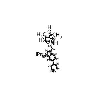 CC(=N)/C(=C(/C)O)S(=O)(=O)NCCc1cn(CC(C)C)c2cc(-c3ccncc3)ccc12